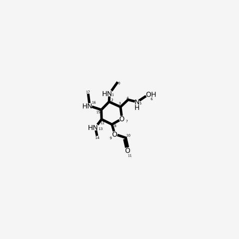 CNC1C(CNO)OC(OC=O)C(NC)C1NC